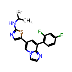 CC(C)C(C)Nc1ncc(-c2cc(-c3ccc(F)cc3F)c3nccn3c2)s1